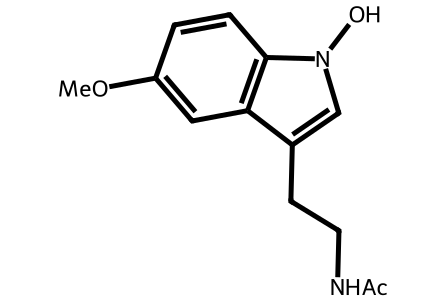 COc1ccc2c(c1)c(CCNC(C)=O)cn2O